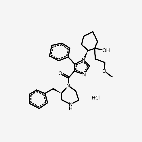 COCCC1(O)CCCC[C@@H]1n1cnc(C(=O)N2CCNC[C@H]2Cc2ccccc2)c1-c1ccccc1.Cl